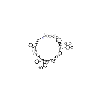 COc1ccc(CC[C@H]2OC(=O)[C@@H]3CCCCN3C(=O)C(=O)C(C)(C)COC(=O)/C=C/CCCN(C)C(=O)[C@@H](Cc3ccccc3)NC(=O)CN(C)C(=O)[C@@H](Cc3ccccc3)NC(=O)[C@H](Cc3ccc(O)cc3)N(C)C(=O)COc3cccc2c3)c(OC)c1OC